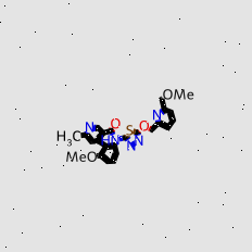 COCc1cccc(COc2nnc(NC(=O)c3cnc(C)cc3-c3ccccc3OC)s2)n1